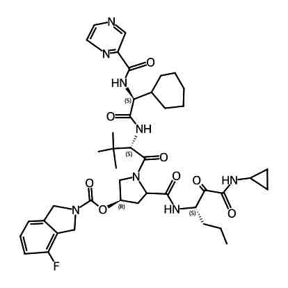 CCC[C@H](NC(=O)C1C[C@@H](OC(=O)N2Cc3cccc(F)c3C2)CN1C(=O)[C@@H](NC(=O)[C@@H](NC(=O)c1cnccn1)C1CCCCC1)C(C)(C)C)C(=O)C(=O)NC1CC1